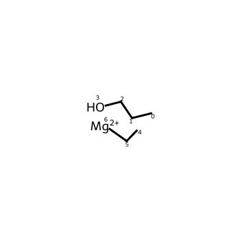 CCCO.C[CH2][Mg+2]